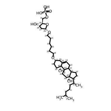 CC(C)CCC[C@H](C)C1CCC2C3CC=C4C[C@@H](OCCCCCCO[C@@H]5C[C@H](O)[C@@H](COP(=O)(O)O)O5)CC[C@]4(C)C3CC[C@@]21C